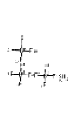 F[B-](F)(F)F.F[B-](F)(F)F.F[B-](F)(F)F.S